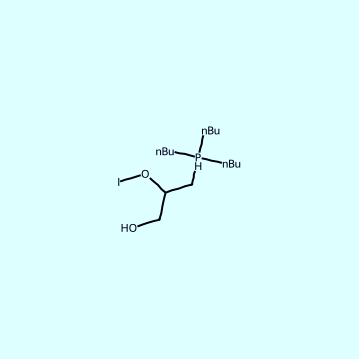 CCCC[PH](CCCC)(CCCC)CC(CO)OI